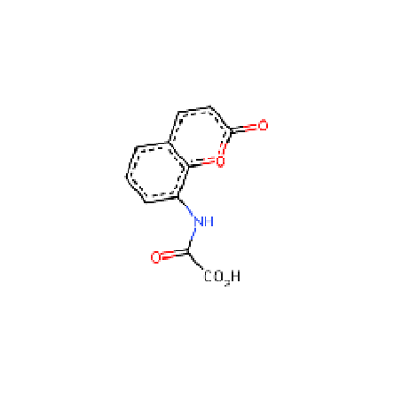 O=C(O)C(=O)Nc1cccc2ccc(=O)oc12